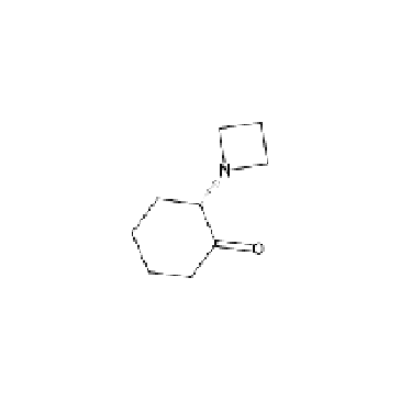 O=C1CCCC[C@@H]1N1CCC1